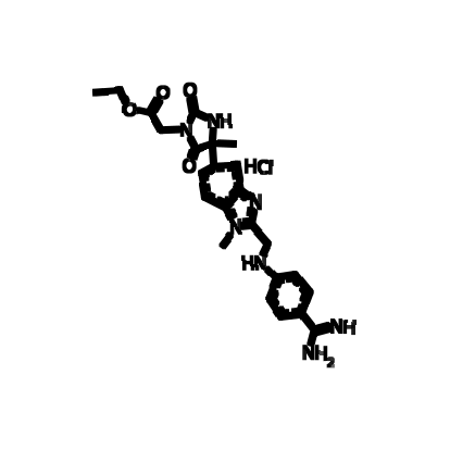 CCOC(=O)CN1C(=O)NC(C)(c2ccc3c(c2)nc(CNc2ccc(C(=N)N)cc2)n3C)C1=O.Cl